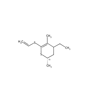 C=CSC1=C(C)C(CC)C[C@H](C)S1